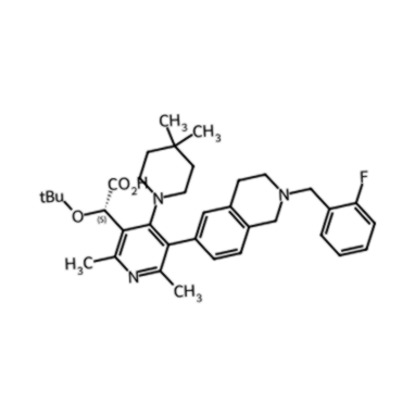 Cc1nc(C)c([C@H](OC(C)(C)C)C(=O)O)c(N2CCC(C)(C)CC2)c1-c1ccc2c(c1)CCN(Cc1ccccc1F)C2